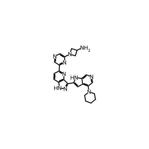 NC1CN(c2cncc(-c3ccc4[nH]nc(-c5cc6c(N7CCCCC7)cncc6[nH]5)c4n3)n2)C1